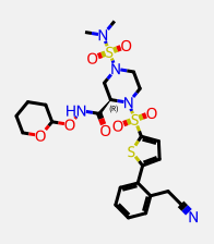 CN(C)S(=O)(=O)N1CCN(S(=O)(=O)c2ccc(-c3ccccc3CC#N)s2)[C@@H](C(=O)NOC2CCCCO2)C1